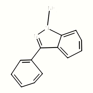 Nn1nc(-c2ccccc2)c2ccccc21